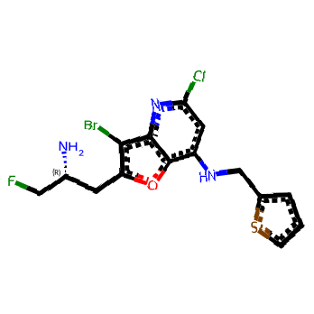 N[C@@H](CF)Cc1oc2c(NCc3cccs3)cc(Cl)nc2c1Br